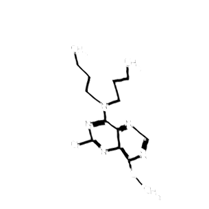 CCCCN(CCCC)c1nc(Cl)nc2c(SC)ncnc12